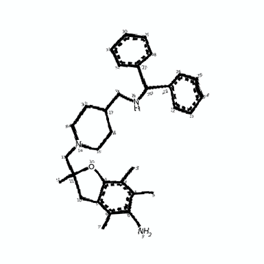 Cc1c(C)c2c(c(C)c1N)CC(C)(CN1CCC(CNC(c3ccccc3)c3ccccc3)CC1)O2